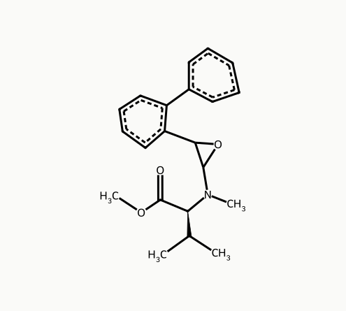 COC(=O)[C@H](C(C)C)N(C)C1OC1c1ccccc1-c1ccccc1